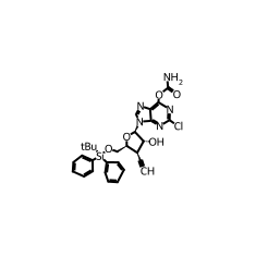 C#C[C@@H]1[C@@H](O)[C@H](n2cnc3c(OC(N)=O)nc(Cl)nc32)O[C@@H]1CO[Si](c1ccccc1)(c1ccccc1)C(C)(C)C